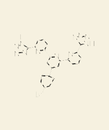 Brc1ccc(-c2cc(-c3cccc(-c4nnn[nH]4)n3)nc(-c3cccc(-c4nnn[nH]4)n3)c2)cc1